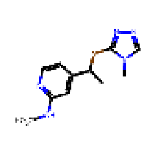 CC(Sc1nncn1C)c1ccnc(NC(=O)O)c1